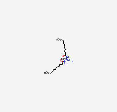 CCCCCCCCCCCCCCCCCC(=O)NC(N)(CC)NC(=O)CCCCCCCCCCCCCCCCC